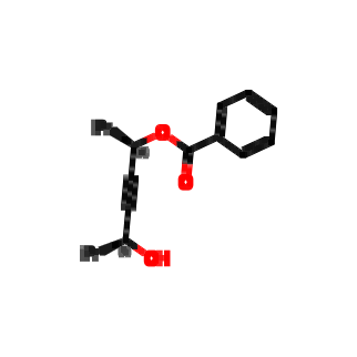 CC(C)[C@H](O)C#C[C@H](OC(=O)c1ccccc1)C(C)C